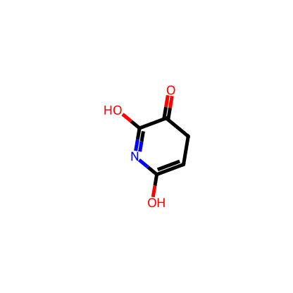 O=C1CC=C(O)N=C1O